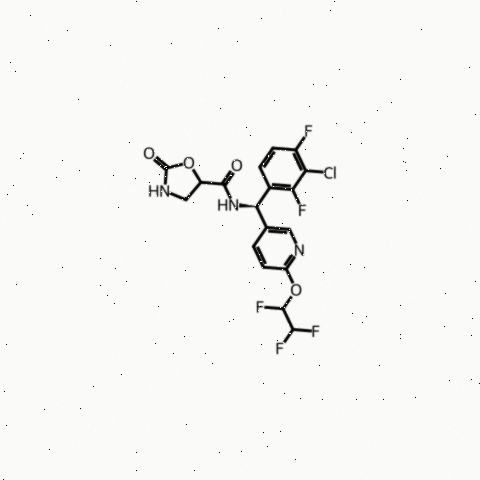 O=C1NCC(C(=O)N[C@H](c2ccc(OC(F)C(F)F)nc2)c2ccc(F)c(Cl)c2F)O1